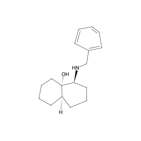 O[C@@]12CCCC[C@@H]1CCC[C@@H]2NCc1ccccc1